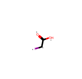 O=C(O)CI